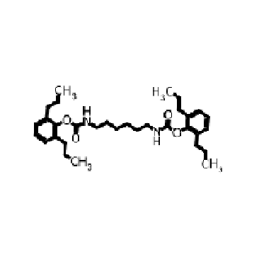 CCCc1cccc(CCC)c1OC(=O)NCCCCCCNC(=O)Oc1c(CCC)cccc1CCC